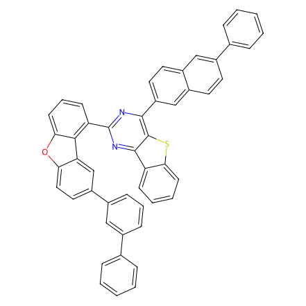 c1ccc(-c2cccc(-c3ccc4oc5cccc(-c6nc(-c7ccc8cc(-c9ccccc9)ccc8c7)c7sc8ccccc8c7n6)c5c4c3)c2)cc1